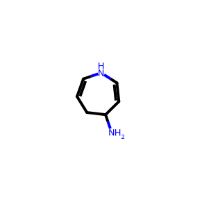 NC1C=CNC=CC1